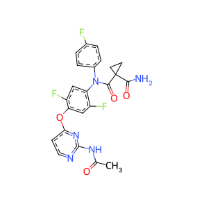 CC(=O)Nc1nccc(Oc2cc(F)c(N(C(=O)C3(C(N)=O)CC3)c3ccc(F)cc3)cc2F)n1